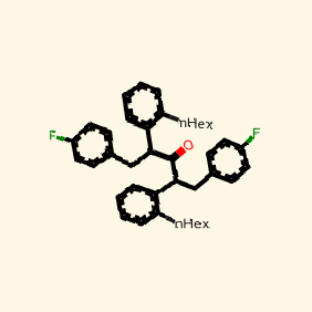 CCCCCCc1ccccc1C(Cc1ccc(F)cc1)C(=O)C(Cc1ccc(F)cc1)c1ccccc1CCCCCC